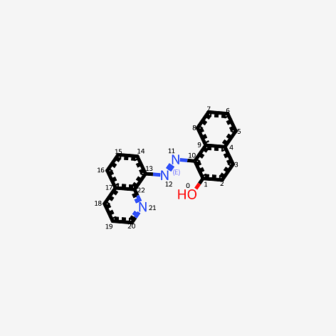 Oc1ccc2ccccc2c1/N=N/c1cccc2cccnc12